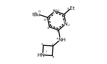 CCc1nc(NC2CNC2)cc(C(C)(C)C)n1